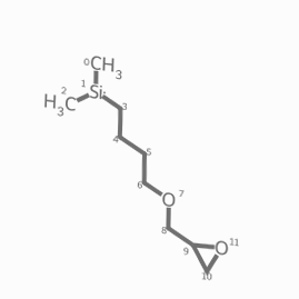 C[Si](C)CCCCOCC1CO1